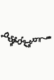 CCOc1ccn(-c2cccc(F)c2)c(=O)c1C(=O)Nc1ccc(Oc2ccnc3cc(-c4ccc(CNCCOC)cn4)sc23)c(F)c1